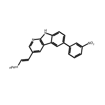 CCCCCC=Cc1cnc2[nH]c3ccc(-c4cccc([N+](=O)[O-])c4)cc3c2c1